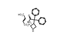 NC(=O)C(c1ccccc1)(c1ccccc1)C1CNC1.O=C(O)/C=C/C(=O)O